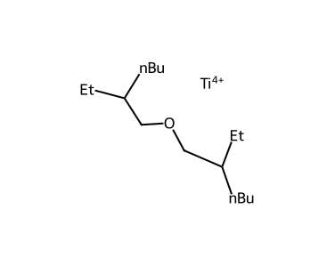 CCCCC(CC)COCC(CC)CCCC.[Ti+4]